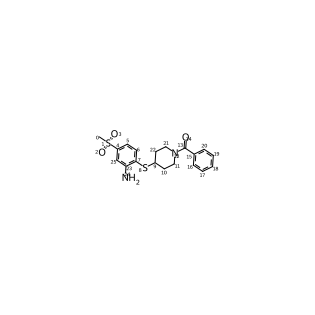 CS(=O)(=O)c1ccc(SC2CCN(C(=O)c3ccccc3)CC2)c(N)c1